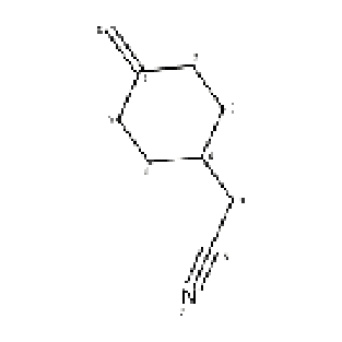 C=C1CCC(CC#N)CC1